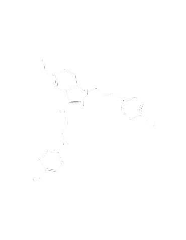 COc1ccc2c(c1)c(OCCOc1ccc(Cl)cc1)nn2CCOc1ccc(Cl)cc1